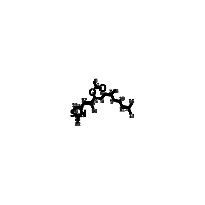 CC(=O)OC(C/C=C(/C)CCC=C(C)C)/C(C)=C/c1csc(C)n1